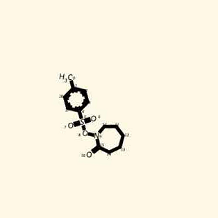 Cc1ccc(S(=O)(=O)ON2CCCCCC2=O)cc1